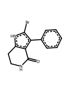 O=C1NCCc2[nH]c(Br)c(-c3ccccc3)c21